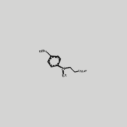 CCN(CCOC)c1ccc(C(C)(C)C)cc1